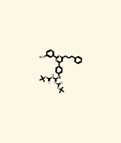 CC(C)(C)OC(=O)/N=C(/NC(=O)OC(C)(C)C)Nc1ccc(-c2cc(CCCc3ccccc3)nc(-c3cccc(N)c3)n2)cc1